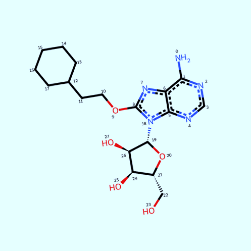 Nc1ncnc2c1nc(OCCC1CCCCC1)n2[C@@H]1O[C@H](CO)[C@@H](O)[C@H]1O